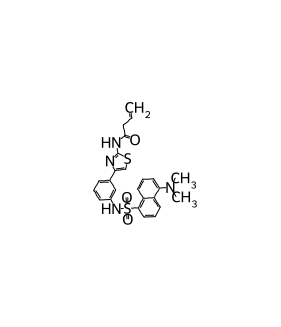 C=CCC(=O)Nc1nc(-c2cccc(NS(=O)(=O)c3cccc4c(N(C)C)cccc34)c2)cs1